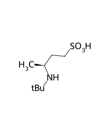 C[C@@H](CCS(=O)(=O)O)NC(C)(C)C